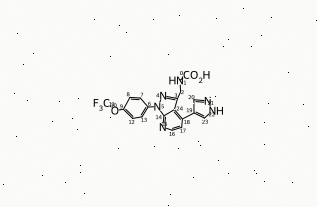 O=C(O)NCc1nn(-c2ccc(OC(F)(F)F)cc2)c2nccc(-c3cn[nH]c3)c12